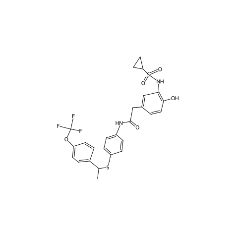 CC(Sc1ccc(NC(=O)Cc2ccc(O)c(NS(=O)(=O)C3CC3)c2)cc1)c1ccc(OC(F)(F)F)cc1